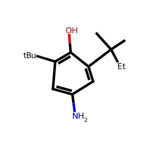 CCC(C)(C)c1cc(N)cc(C(C)(C)C)c1O